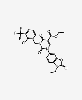 CCOC(=O)c1cn(-c2ccc3c(c2)oc(=O)n3CC)c(=O)n(Cc2cccc(C(F)(F)F)c2Cl)c1=O